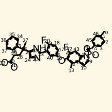 Cc1ccc(S(=O)(=O)n2ccc3c(C)c(Oc4ccc(F)c(-c5ncc(C(C)(CCC(=O)O)c6ccccc6)[nH]5)c4)c(F)cc32)cc1